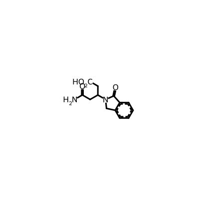 NC(=O)CC(CC(=O)O)N1Cc2ccccc2C1=O